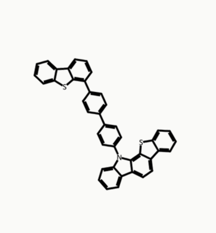 c1ccc2c(c1)sc1c(-c3ccc(-c4ccc(-n5c6ccccc6c6ccc7c8ccccc8sc7c65)cc4)cc3)cccc12